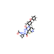 CC(=O)N[C@@H]1CCC[C@@H]1NC(=O)c1sc2nccc3c2c1NC(=O)N3c1ccc(Oc2ccccc2)cc1C